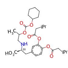 CC(C)CC(=O)Oc1ccc(C[C@H](NCC(C)OC(=O)OC2CCCCC2)C(=O)O)cc1OC(=O)CC(C)C